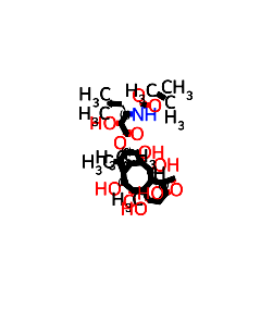 CC1=C2[C@@H](O)C(=O)C3(C)C(O)CC4OC[C@@]4(O)[C@H]3[C@H](O)C(O)(C[C@@H]1OC(=O)C(O)[C@H](CC(C)C)NC(=O)OC(C)(C)C)C2(C)C